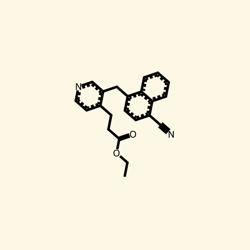 CCOC(=O)CCc1ccncc1Cc1ccc(C#N)c2ccccc12